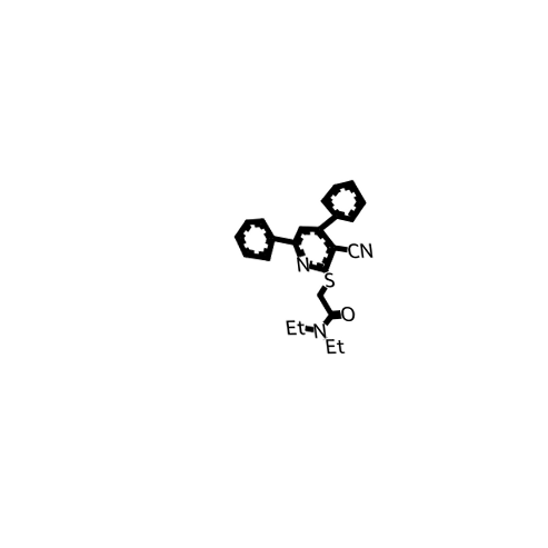 CCN(CC)C(=O)CSc1nc(-c2ccccc2)cc(-c2ccccc2)c1C#N